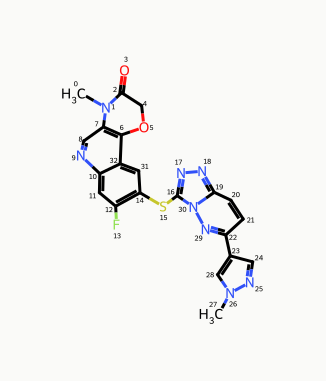 CN1C(=O)COc2c1cnc1cc(F)c(Sc3nnc4ccc(-c5cnn(C)c5)nn34)cc21